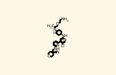 CC(COCCN)N[C@H]1CC[C@H](Nc2cc(-c3cccc(NCC4(C#N)CCOCC4)n3)c(Cl)cn2)CC1